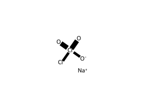 [Na+].[O]=[Cr](=[O])([O-])[Cl]